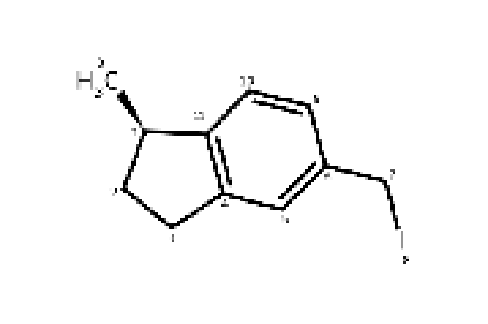 C[C@@H]1CCc2cc(CI)ccc21